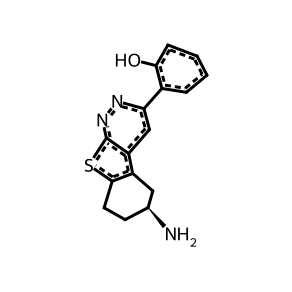 N[C@H]1CCc2sc3nnc(-c4ccccc4O)cc3c2C1